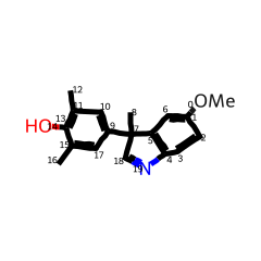 COc1ccc2c(c1)C(C)(c1cc(C)c(O)c(C)c1)C=N2